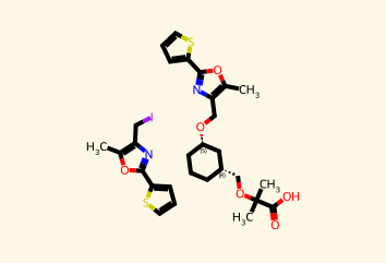 Cc1oc(-c2cccs2)nc1CI.Cc1oc(-c2cccs2)nc1CO[C@H]1CCC[C@@H](COC(C)(C)C(=O)O)C1